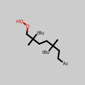 CC(=O)CCC(C)(CCC(C)(COO)C(C)(C)C)C(C)(C)C